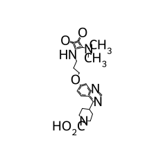 CN(C)c1c(NCCCOc2ccc3c(C4CCN(C(=O)O)CC4)ncnc3c2)c(=O)c1=O